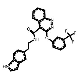 O=C(NCCc1ccc2[nH]ccc2c1)c1c(Oc2cccc(C(F)(F)F)c2)nnc2ccccc12